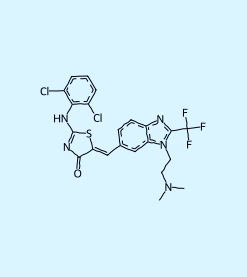 CN(C)CCn1c(C(F)(F)F)nc2ccc(/C=C3\SC(Nc4c(Cl)cccc4Cl)=NC3=O)cc21